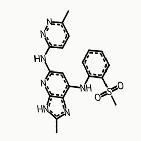 Cc1ccc(Nc2cc(Nc3ccccc3S(C)(=O)=O)c3nc(C)[nH]c3n2)nn1